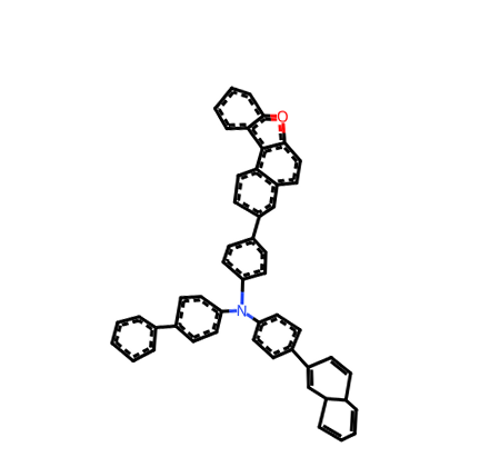 C1=CC2C=CC(c3ccc(N(c4ccc(-c5ccccc5)cc4)c4ccc(-c5ccc6c(ccc7oc8ccccc8c76)c5)cc4)cc3)=CC2C=C1